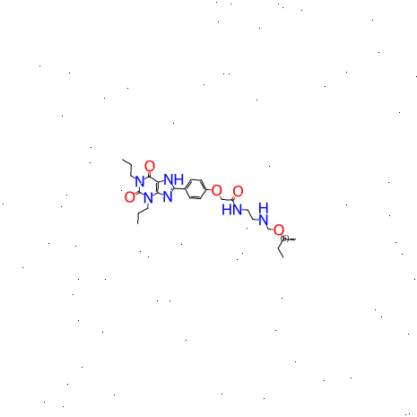 CCCn1c(=O)c2[nH]c(-c3ccc(OCC(=O)NCCNCO[C@@H](C)CC)cc3)nc2n(CCC)c1=O